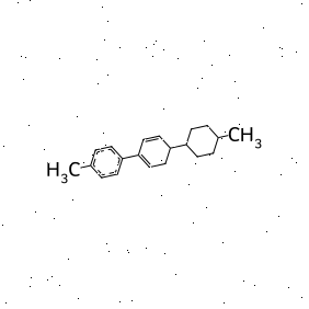 Cc1ccc(C2=CCC(C3CCC(C)CC3)C=C2)cc1